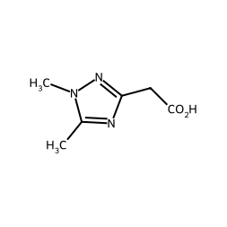 Cc1nc(CC(=O)O)nn1C